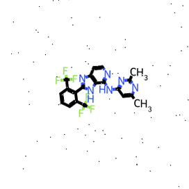 Cc1cc(Nc2nccc3nc(-c4c(C(F)(F)F)cccc4C(F)(F)F)[nH]c23)nc(C)n1